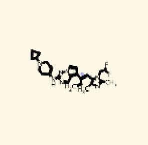 C=C/C(=C\c1c(C)nc(C)n1CC(F)F)c1ccn2nc(NC3CCN(C4CCC4)CC3)ncc12